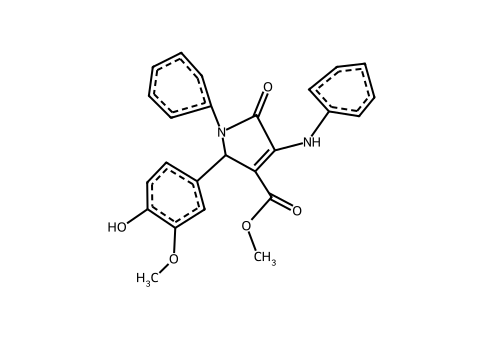 COC(=O)C1=C(Nc2ccccc2)C(=O)N(c2ccccc2)C1c1ccc(O)c(OC)c1